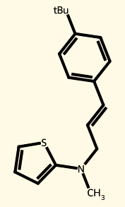 CN(C/C=C/c1ccc(C(C)(C)C)cc1)c1cccs1